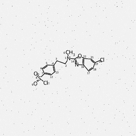 CN(CCc1ccc(S(=O)(=O)Cl)cc1)c1nc2ccc(Cl)cc2o1